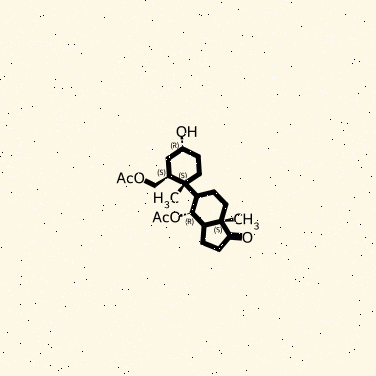 CC(=O)OC[C@H]1C[C@H](O)CC[C@]1(C)C1CC[C@]2(C)C(=O)CCC2[C@@H]1OC(C)=O